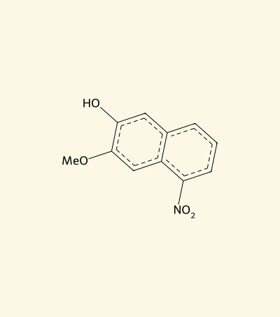 COc1cc2c([N+](=O)[O-])cccc2cc1O